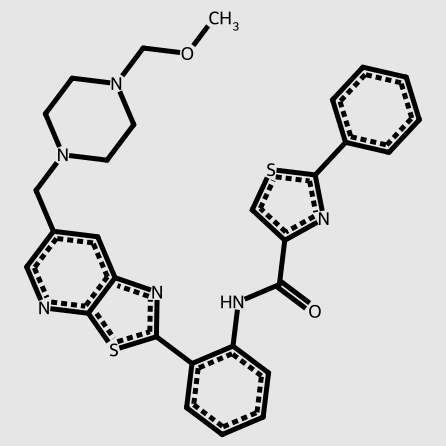 COCN1CCN(Cc2cnc3sc(-c4ccccc4NC(=O)c4csc(-c5ccccc5)n4)nc3c2)CC1